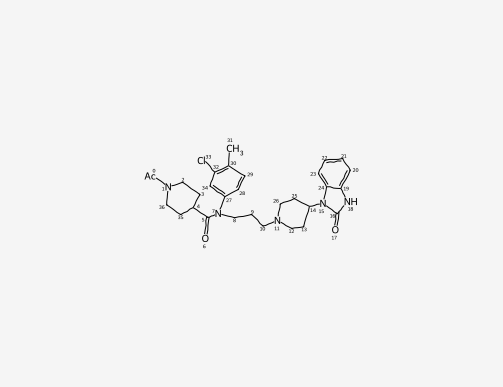 CC(=O)N1CCC(C(=O)N(CCCN2CCC(n3c(=O)[nH]c4ccccc43)CC2)c2ccc(C)c(Cl)c2)CC1